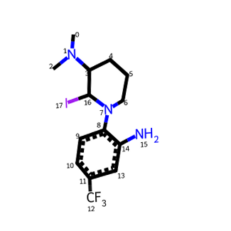 CN(C)C1CCCN(c2ccc(C(F)(F)F)cc2N)C1I